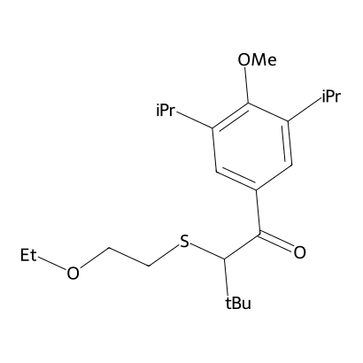 CCOCCSC(C(=O)c1cc(C(C)C)c(OC)c(C(C)C)c1)C(C)(C)C